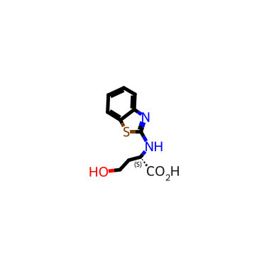 O=C(O)[C@H](CCO)Nc1nc2ccccc2s1